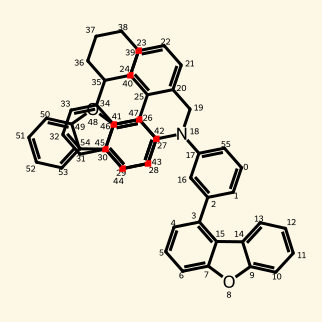 c1cc(-c2cccc3oc4ccccc4c23)cc(N(Cc2ccccc2-c2cccc3cccc(C4CCCCC4)c23)c2ccc3c(c2)oc2ccccc23)c1